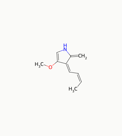 C=c1[nH]cc(OC)/c1=C/C=C\C